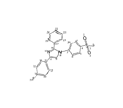 CS(=O)(=O)c1ccc(-n2cc(-c3ccc(F)cc3)nc2-c2ccccn2)cc1